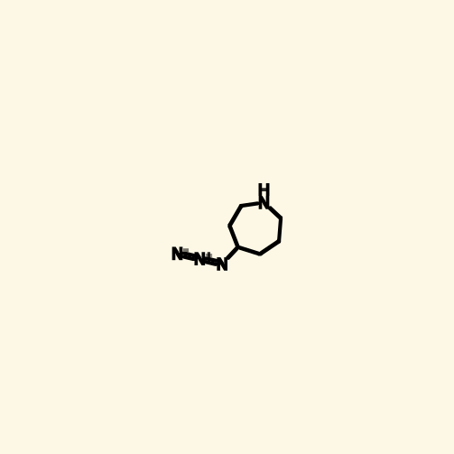 [N-]=[N+]=NC1CCCNCC1